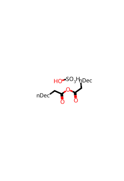 CCCCCCCCCCCC(=O)OC(=O)CCCCCCCCCCC.O=S(=O)(O)O